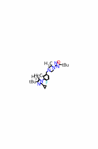 Cc1c(CN2CCN(c3noc(C(C)(C)C)n3)C(C)C2)ccc(F)c1-n1c(C2CC2)nc(C(C)(C)C)c1C